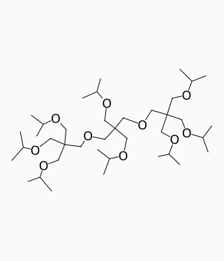 CC(C)OCC(COCC(COC(C)C)(COC(C)C)COC(C)C)(COCC(COC(C)C)(COC(C)C)COC(C)C)COC(C)C